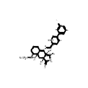 CCOC(=O)N[C@H]1CCCC2[C@H](/C=C/C3=CC=C(c4cccc(F)c4)CN3)[C@@H]3[C@@H](C)OC(=O)[C@@H]3C[C@@H]21